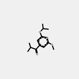 COc1cc(C(=O)C(C)C)cc(OC(C)C)n1